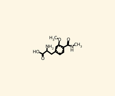 CNC(=O)c1ccc(CC(N)C(=O)O)cc1OC